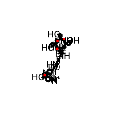 [N-]=[N+]=NC1CCCCC(C(O)CO)C(n2nnc3c2CC[C@H]2[C@@H](CC3)[C@@H]2COC(=O)NCCSSCCNc2c(F)c(F)c(-c3c4nc(c(-c5cccc(O)c5)c5ccc([nH]5)c(-c5cccc(O)c5)c5nc(c(-c6cccc(O)c6)c6ccc3[nH]6)C=C5)C=C4)c(F)c2F)C1